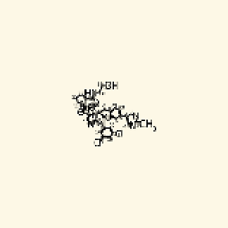 Cc1ncc(-c2ccc(C[C@]3(C)C(=O)N(c4cc(Cl)cc(Cl)c4)c4ncc(S(=O)(=O)N5CCC[C@H]5C(=O)NCCO)n43)cc2)cn1